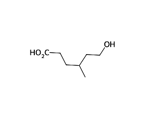 CC(CCO)CCC(=O)O